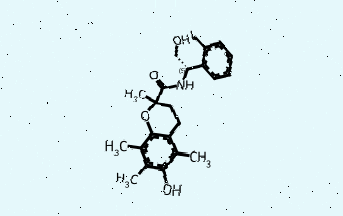 Cc1c(C)c2c(c(C)c1O)CCC(C)(C(=O)N[C@H](CO)c1ccccc1I)O2